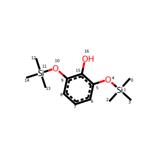 C[Si](C)(C)Oc1cccc(O[Si](C)(C)C)c1O